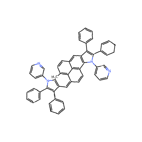 Cc1ccc2cc3c(-c4ccccc4)c(C4=CCCC=C4)n(-c4cccnc4)c3c3cc/c(=C/c4cn(-c5cccnc5)c(-c5ccccc5)c4-c4ccccc4)c1c23